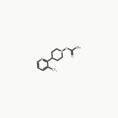 CC(C)(C)C(=O)ON1CCC(c2ncccc2C(F)(F)F)CC1